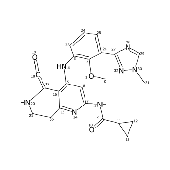 COc1c(Nc2cc(NC(=O)C3CC3)nc3c2C(=C=O)NCC3)cccc1-c1ncn(C)n1